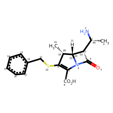 C[C@@H](N)[C@@H]1C(=O)N2C(C(=O)O)=C(SCc3ccccc3)[C@H](C)[C@H]12